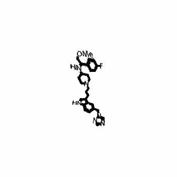 COCC(NC1CCN(CCCc2c[nH]c3ccc(Cn4cncn4)cc23)CC1)c1ccc(F)cc1